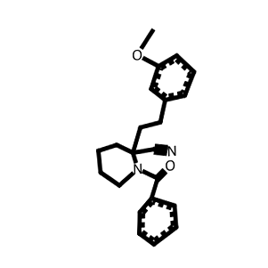 COc1cccc(CCC2(C#N)CCCCN2C(=O)c2ccccc2)c1